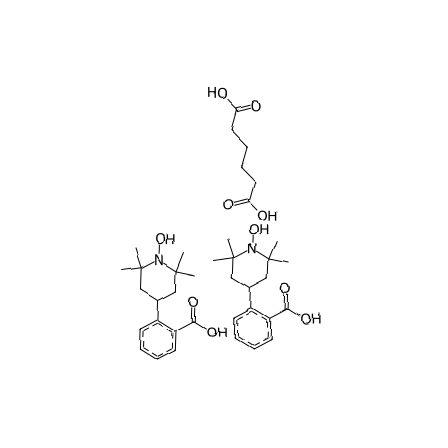 CC1(C)CC(c2ccccc2C(=O)O)CC(C)(C)N1O.CC1(C)CC(c2ccccc2C(=O)O)CC(C)(C)N1O.O=C(O)CCCCC(=O)O